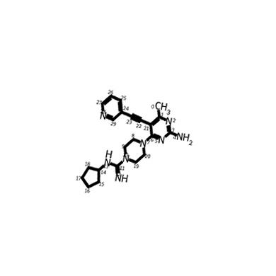 Cc1nc(N)nc(N2CCN(C(=N)NC3CCCC3)CC2)c1C#Cc1cccnc1